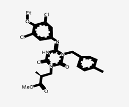 CCOc1c(Cl)cc(/N=c2\[nH]c(=O)n(C[C@H](C)C(=O)OC)c(=O)n2Cc2ccc(C)cc2)cc1Cl